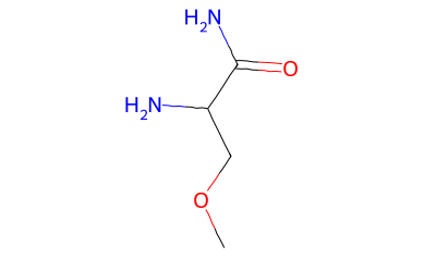 COCC(N)C(N)=O